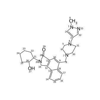 Cn1cc(N2CCN(Cc3cc4c(c5ccccc35)CN(C3CCCCC3O)C4=O)CC2)cn1